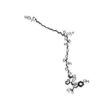 NC(=O)[C@H](Cc1ccc(O)cc1)NCC(=O)[C@@H]1CCCN1C(=O)COCCOCCNC(=O)COCCOCCNC(=O)CCC(NC(=O)CCCCCCCCCCCCCCCCC(=O)O)C(=O)O